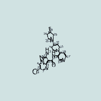 Nc1nn2cc(Cl)cnc2c1C(=O)Nc1cnccc1N1CCC(N2CC[C@H](F)C2)CC1